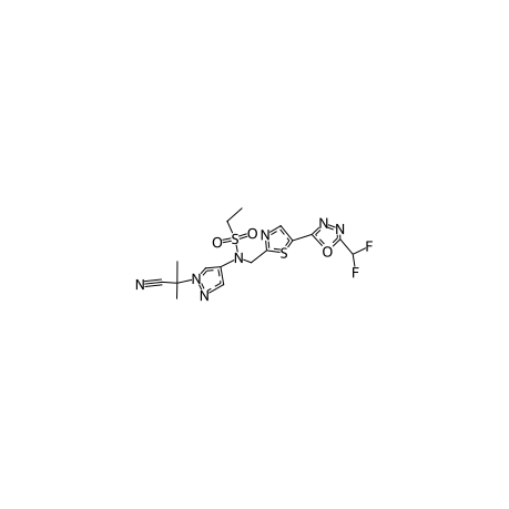 CCS(=O)(=O)N(Cc1ncc(-c2nnc(C(F)F)o2)s1)c1cnn(C(C)(C)C#N)c1